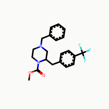 COC(=O)N1CCN(Cc2ccccc2)CC1Cc1ccc(C(F)(F)F)cc1